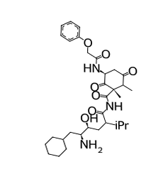 CC(C)C(C[C@H](O)[C@@H](N)CC1CCCCC1)C(=O)NC(=O)[C@]1(C)C(=O)[C@@H](NC(=O)COc2ccccc2)CC(=O)C1C